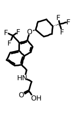 O=C(O)CNCc1cccc2c(C(F)(F)F)c(O[C@H]3CC[C@@H](C(F)(F)F)CC3)ccc12